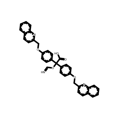 N=COC(C(=O)O)(c1ccc(OCc2ccc3ccccc3n2)cc1)c1ccc(OCc2ccc3ccccc3n2)cc1